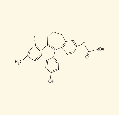 Cc1ccc(C2=C(c3ccc(O)cc3)c3ccc(OC(=O)C(C)(C)C)cc3CCC2)c(F)c1